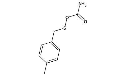 Cc1ccc(CSOC(N)=O)cc1